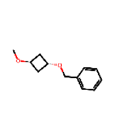 CO[C@H]1C[C@H](OCc2ccccc2)C1